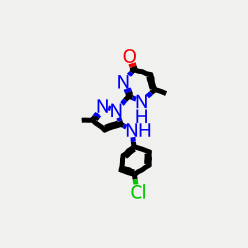 Cc1cc(Nc2ccc(Cl)cc2)n(-c2nc(=O)cc(C)[nH]2)n1